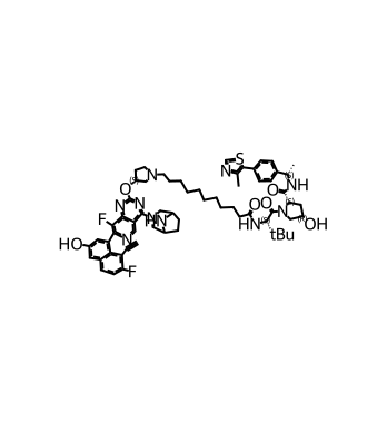 C#Cc1c(F)ccc2cc(O)cc(-c3ncc4c(N5CC6CCC(C5)N6)nc(O[C@H]5CCN(CCCCCCCCCCC(=O)N[C@H](C(=O)N6C[C@H](O)C[C@H]6C(=O)N[C@@H](C)c6ccc(-c7scnc7C)cc6)C(C)(C)C)C5)nc4c3F)c12